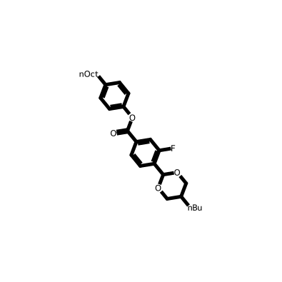 CCCCCCCCc1ccc(OC(=O)c2ccc(C3OCC(CCCC)CO3)c(F)c2)cc1